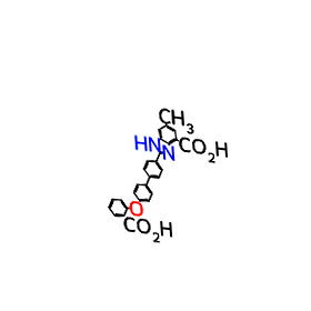 Cc1cc(C(=O)O)c2nc(-c3ccc(-c4ccc(Oc5ccccc5C(=O)O)cc4)cc3)[nH]c2c1